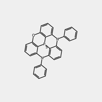 S=P12c3c4cccc3N(c3ccccc3)c3cccc(c31)N(c1ccccc1)c1cccc(c12)O4